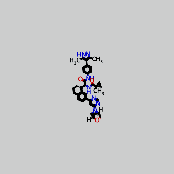 Cc1n[nH]c(C)c1-c1ccc(NC(=O)[C@@H](NC(=O)C2(C)CC2)[C@@H]2CCCc3ccc(-c4cc(N5C[C@@H]6C[C@H]5CO6)ncn4)cc32)cc1